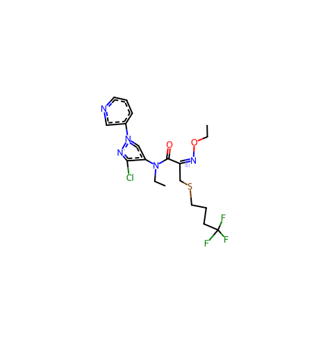 CCO/N=C(/CSCCCC(F)(F)F)C(=O)N(CC)c1cn(-c2cccnc2)nc1Cl